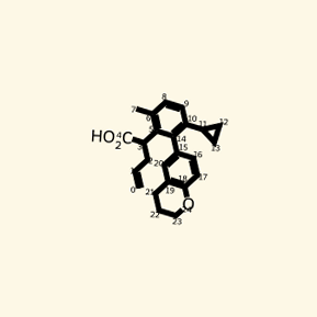 C=CCC(C(=O)O)c1c(C)ccc(C2CC2)c1-c1ccc2c(c1)CCCO2